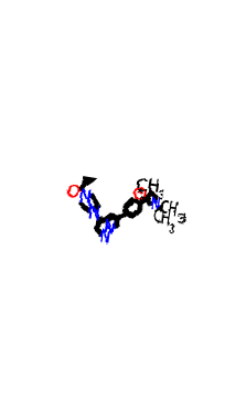 CO[C@@]1(C2C=CC(c3cc4c(N5CCN(C(=O)C6CC6)CC5)ccnn4c3)=CC2)CCN(C(C)C)C1